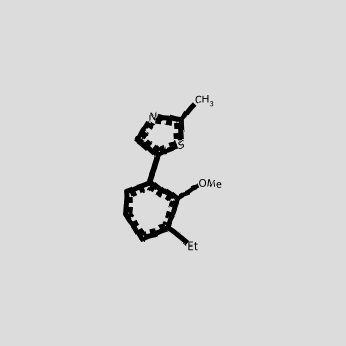 CCc1cccc(-c2cnc(C)s2)c1OC